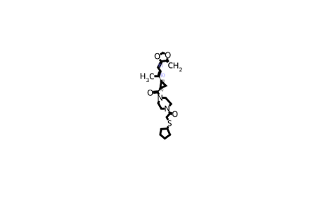 C=C1OCO/C1=C/C=C(\C)[C@@H]1C[C@H]1C(=O)N1CCN(C(=O)CSC2CCCC2)CC1